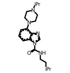 CC(C)CCNC(=O)n1cnc2c(N3CCN(C(C)C)CC3)cccc21